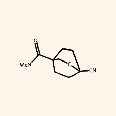 CNC(=O)C12CCC(C#N)(CC1)CC2